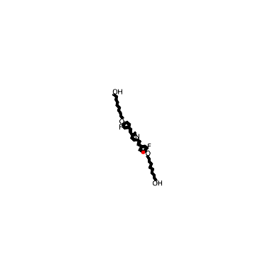 OCCCCCCCCCCOc1ccc(C=Cc2ccc(C=Cc3ccc(OCCCCCCCCCCO)c(F)c3)nc2)cc1F